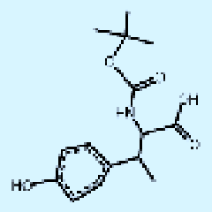 CC(c1ccc(O)cc1)C(NC(=O)OC(C)(C)C)C(=O)O